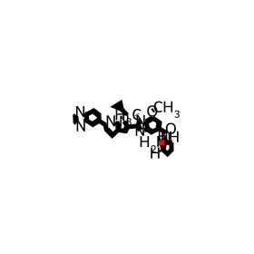 COc1cc(C(=O)N2C[C@H]3CC[C@@H]2[C@@H]3N)cc2nc(-c3cc4ccc(-c5ccc6nccnc6c5)nc4n3CC3CC3)n(C)c12